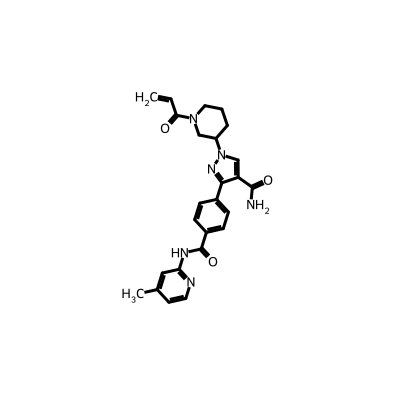 C=CC(=O)N1CCCC(n2cc(C(N)=O)c(-c3ccc(C(=O)Nc4cc(C)ccn4)cc3)n2)C1